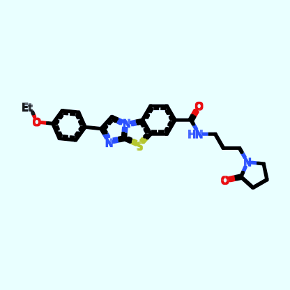 CCOc1ccc(-c2cn3c(n2)sc2cc(C(=O)NCCCN4CCCC4=O)ccc23)cc1